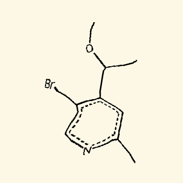 COC(C)c1cc(C)ncc1Br